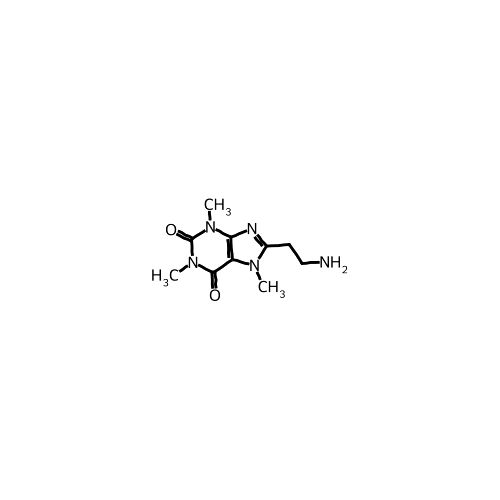 Cn1c(=O)c2c(nc(CCN)n2C)n(C)c1=O